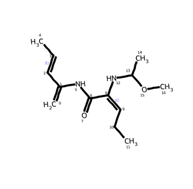 C=C(/C=C/C)NC(=O)/C(=C\CC)NC(C)OC